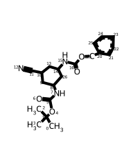 CC(C)(C)OC(=O)NC1CC(C#N)CC(NC(=O)OCc2ccccc2)C1